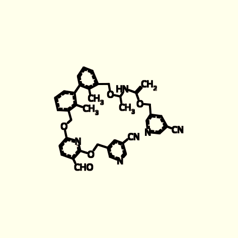 C=C(NC(C)OCc1cccc(-c2cccc(COc3ccc(C=O)c(OCc4cncc(C#N)c4)n3)c2C)c1C)OCc1cncc(C#N)c1